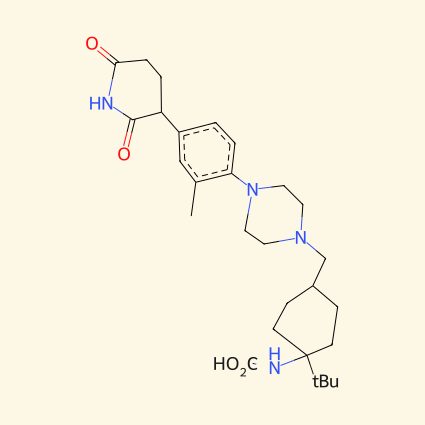 Cc1cc(C2CCC(=O)NC2=O)ccc1N1CCN(CC2CCC(NC(=O)O)(C(C)(C)C)CC2)CC1